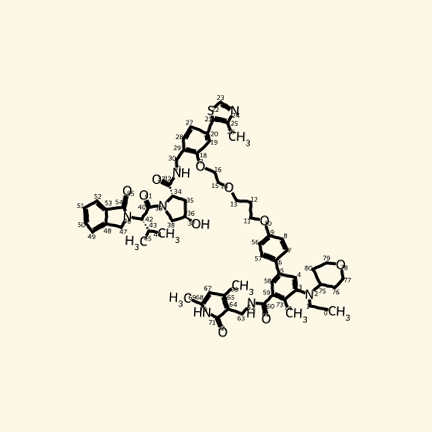 CCN(c1cc(-c2ccc(OCCCOCCOc3cc(-c4scnc4C)ccc3CNC(=O)[C@@H]3C[C@@H](O)CN3C(=O)[C@H](C(C)C)N3Cc4ccccc4C3=O)cc2)cc(C(=O)NCc2c(C)cc(C)[nH]c2=O)c1C)C1CCOCC1